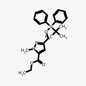 CCOC(=O)c1cc(CO[Si](c2ccccc2)(c2ccccc2)C(C)(C)C)nn1C